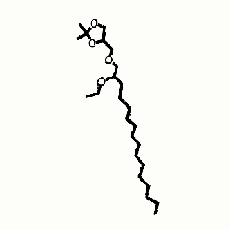 CCCCCCCCCCCCCCC(COCC1COC(C)(C)O1)OCC